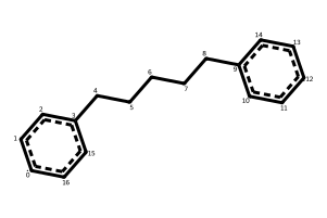 [c]1ccc(CCCCCc2cc[c]cc2)cc1